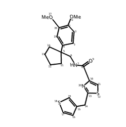 COc1ccc(C2(CNC(=O)c3csc(Cc4ccsc4)n3)CCCC2)cc1OC